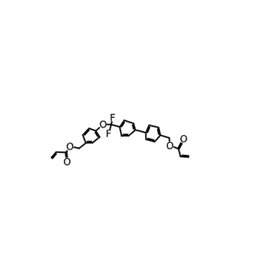 C=CC(=O)OCc1ccc(OC(F)(F)c2ccc(-c3ccc(COC(=O)C=C)cc3)cc2)cc1